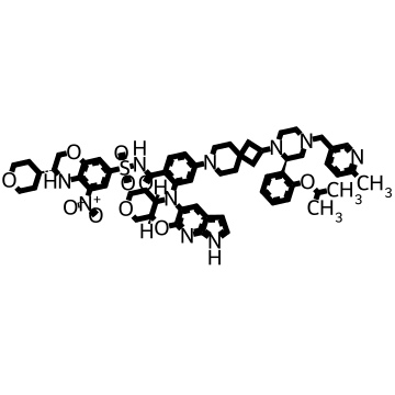 Cc1ccc(CN2CCN(C3CC4(CCN(c5ccc(C(=O)NS(=O)(=O)c6cc7c(c([N+](=O)[O-])c6)N[C@H](C6CCOCC6)CO7)c(N6c7cc8cc[nH]c8nc7O[C@H]7COCC[C@@H]76)c5)CC4)C3)[C@H](c3ccccc3OC(C)C)C2)cn1